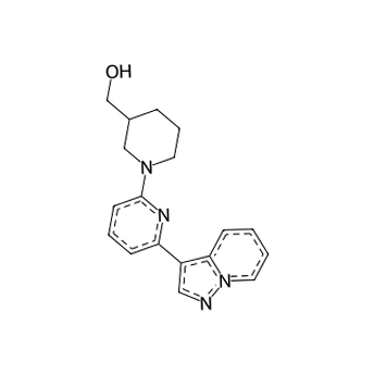 OCC1CCCN(c2cccc(-c3cnn4ccccc34)n2)C1